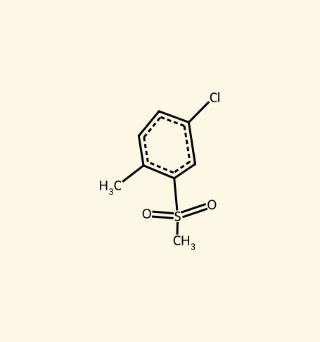 Cc1ccc(Cl)cc1S(C)(=O)=O